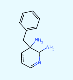 NC1N=CC=CC1(N)Cc1ccccc1